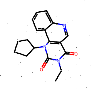 CCn1c(=O)c2cnc3ccccc3c2n(C2CCCC2)c1=O